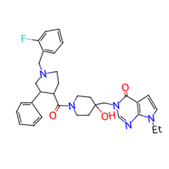 CCn1ccc2c(=O)n(CC3(O)CCN(C(=O)C4CCN(Cc5ccccc5F)CC4c4ccccc4)CC3)cnc21